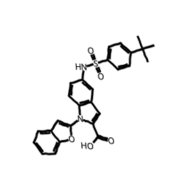 CC(C)(C)c1ccc(S(=O)(=O)Nc2ccc3c(c2)cc(C(=O)O)n3-c2cc3ccccc3o2)cc1